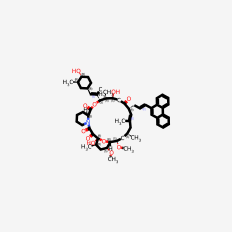 CO[C@H]1C[C@@H](C)C/C(C)=C/[C@@H](C/C=C/c2cc3ccccc3c3ccccc23)C(=O)C[C@H](O)[C@@H](C)[C@@H](/C(C)=C/[C@@H]2CC[C@@H](O)[C@H](C)C2)OC(=O)[C@@H]2CCCCN2C(=O)C(=O)[C@]2(O)O[C@H]1[C@@H](OC)C[C@H]2C